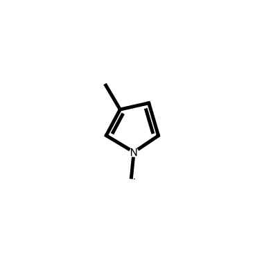 [CH2]n1ccc(C)c1